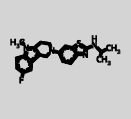 CC(C)Nc1nc2ccc(N3CCc4c(c5cc(F)ccc5n4C)C3)cc2s1